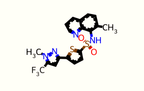 Cc1ccc2cccnc2c1NS(=O)(=O)c1ccc(-c2cc(C(F)(F)F)n(C)n2)s1